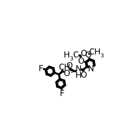 COc1ccnc(C(=O)NCC(=O)O[C@@H](C)C(c2ccc(F)cc2)c2ccc(F)cc2)c1OC(C)=O